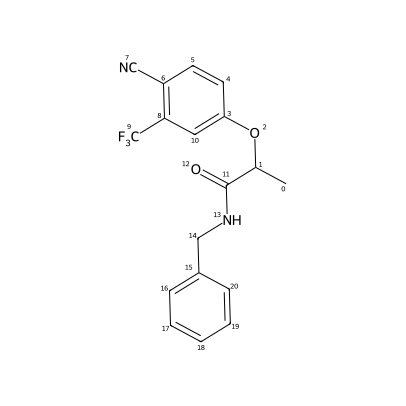 CC(Oc1ccc(C#N)c(C(F)(F)F)c1)C(=O)NCc1ccccc1